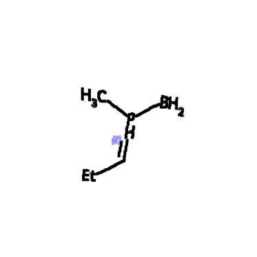 B/[PH](C)=C/CC